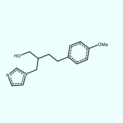 COc1ccc(CCC(CO)Cn2ccnc2)cc1